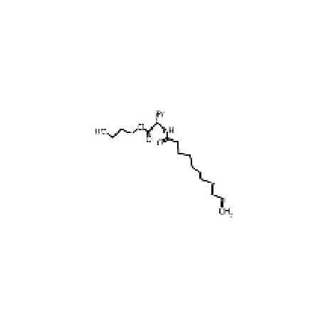 C=CCCCCCCCCC(=O)NC(C(=O)OCCCO)C(C)C